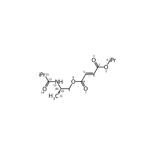 CC(C)OC(=O)/C=C/C(=O)OC[C@@H](C)NC(=O)C(C)C